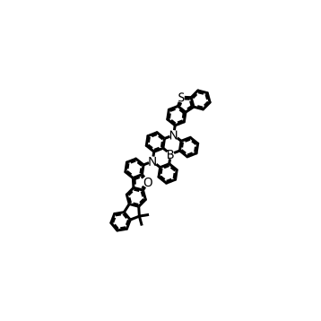 CC1(C)c2ccccc2-c2cc3c(cc21)oc1c(N2c4ccccc4B4c5ccccc5N(c5ccc6sc7ccccc7c6c5)c5cccc2c54)cccc13